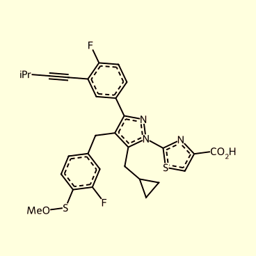 COSc1ccc(Cc2c(-c3ccc(F)c(C#CC(C)C)c3)nn(-c3nc(C(=O)O)cs3)c2CC2CC2)cc1F